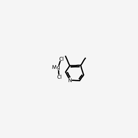 Cc1ccncc1C.[Cl][Mg][Cl]